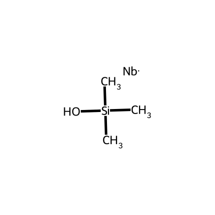 C[Si](C)(C)O.[Nb]